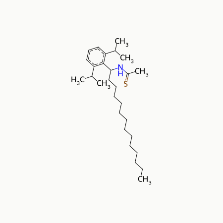 CCCCCCCCCCCCCC(NC(C)=S)c1c(C(C)C)cccc1C(C)C